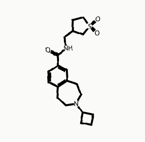 O=C(NCC1CCS(=O)(=O)C1)c1ccc2c(c1)CCN(C1CCC1)CC2